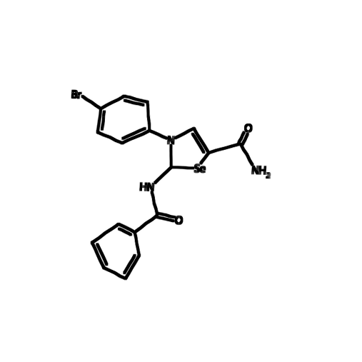 NC(=O)C1=CN(c2ccc(Br)cc2)C(NC(=O)c2ccccc2)[Se]1